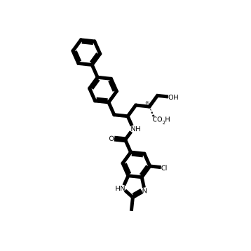 Cc1nc2c(Cl)cc(C(=O)NC(Cc3ccc(-c4ccccc4)cc3)C[C@H](CO)C(=O)O)cc2[nH]1